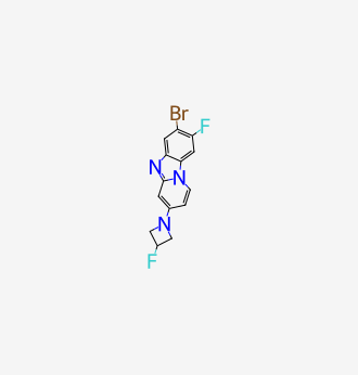 Fc1cc2c(cc1Br)nc1cc(N3CC(F)C3)ccn12